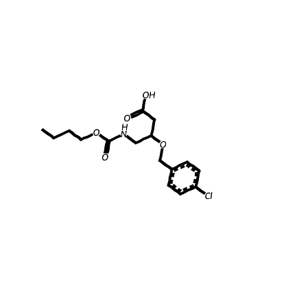 CCCCOC(=O)NCC(CC(=O)O)OCc1ccc(Cl)cc1